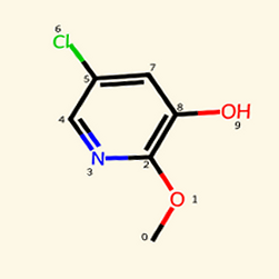 COc1ncc(Cl)cc1O